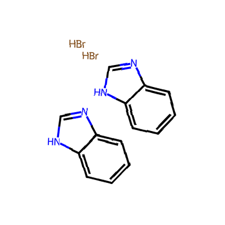 Br.Br.c1ccc2[nH]cnc2c1.c1ccc2[nH]cnc2c1